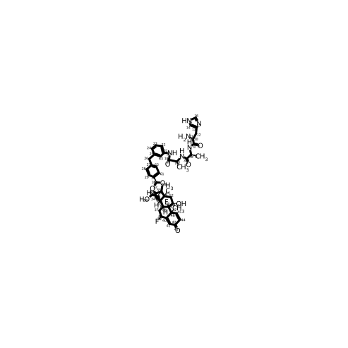 C[C@H](NC(=O)[C@H](C)NC(=O)[C@@H](N)Cc1c[nH]cn1)C(=O)Nc1cccc(Cc2ccc([C@@H]3O[C@@H]4C[C@H]5[C@@H]6C[C@H](F)C7=CC(=O)C=C[C@]7(C)[C@@]6(F)[C@@H](O)C[C@]5(C)[C@]4(C(=O)CO)O3)cc2)c1